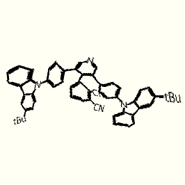 CC(C)(C)c1ccc2c(c1)c1ccccc1n2-c1ccc(-c2cncc(-c3ccc(-n4c5ccccc5c5cc(C(C)(C)C)ccc54)cc3)c2-c2cccc(C#N)c2C#N)cc1